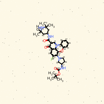 CC1(C)CC(NC(=O)c2cn3c4c(c(N5CCC(NC(=O)OC(C)(C)C)C5)c(F)cc4c2=O)Oc2ccccc2-3)CC(C)(C)N1